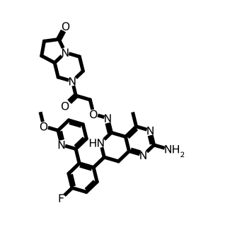 COc1cccc(-c2cc(F)ccc2C2Cc3nc(N)nc(C)c3C(=NOCC(=O)N3CCN4C(=O)CCC4C3)N2)n1